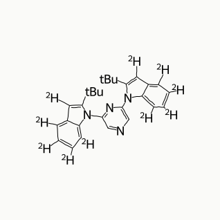 [2H]c1c([2H])c([2H])c2c(c1[2H])c([2H])c(C(C)(C)C)n2-c1cncc(-n2c(C(C)(C)C)c([2H])c3c([2H])c([2H])c([2H])c([2H])c32)n1